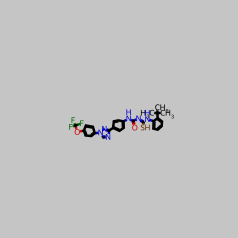 CC(C)(C)c1ccccc1N/C(S)=N/C(=O)Nc1ccc(-c2ncn(-c3ccc(OC(F)(F)F)cc3)n2)cc1